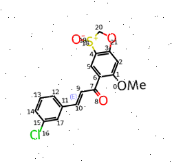 COc1cc2c(cc1C(=O)/C=C/c1cccc(Cl)c1)[S+]([O-])CO2